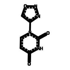 O=c1ccn(-c2conn2)c(=O)[nH]1